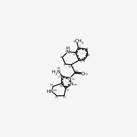 Cc1cccc2c1NCCC2C(=O)n1nc2c(c1N)CNCC2